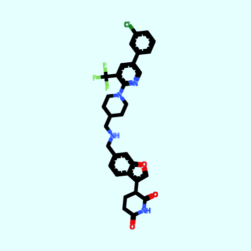 O=C1CCC(c2coc3cc(CNCC4CCN(c5ncc(-c6cccc(Cl)c6)cc5C(F)(F)F)CC4)ccc23)C(=O)N1